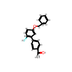 CCC(=O)c1ccc(-c2cc(OCc3ccccc3)ccc2F)cc1